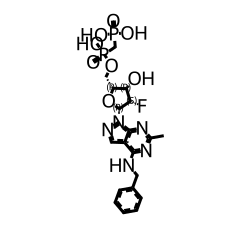 Cc1nc(NCc2ccccc2)c2cnn([C@@H]3O[C@H](COP(=O)(O)CP(=O)(O)O)[C@@H](O)[C@@H]3F)c2n1